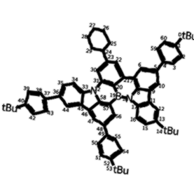 CC(C)(C)c1ccc(-c2cc3c4c(c2)c2cc(C(C)(C)C)ccc2n4B2c4c-3cc(C3CCCCC3)cc4-n3c4ccc(-c5ccc(C(C)(C)C)cc5)cc4c4cc(-c5ccc(C(C)(C)C)cc5)cc2c43)cc1